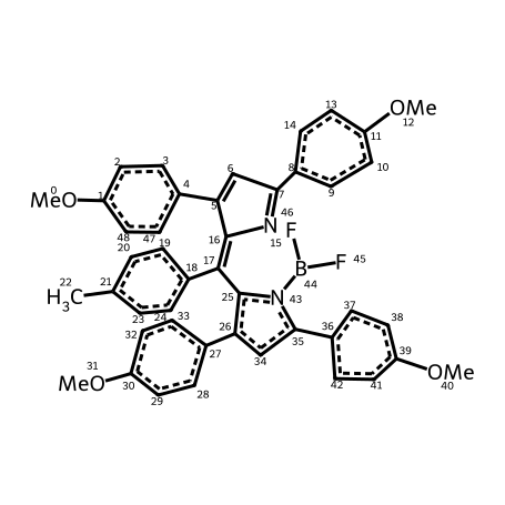 COc1ccc(C2=CC(c3ccc(OC)cc3)=N/C2=C(/c2ccc(C)cc2)c2c(-c3ccc(OC)cc3)cc(-c3ccc(OC)cc3)n2B(F)F)cc1